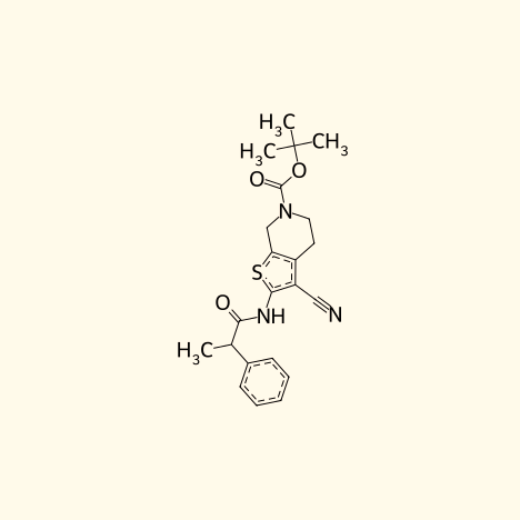 CC(C(=O)Nc1sc2c(c1C#N)CCN(C(=O)OC(C)(C)C)C2)c1ccccc1